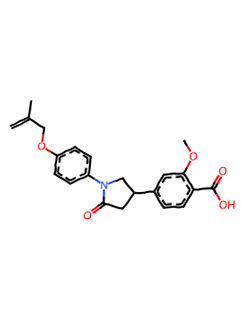 C=C(C)COc1ccc(N2CC(c3ccc(C(=O)O)c(OC)c3)CC2=O)cc1